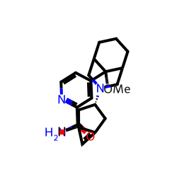 COC1(c2ccnc(C(N)=O)c2)C2CCCC1CN([C@@H]1CC3=C[C@@H]3C1)C2